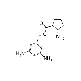 Nc1cc(N)cc(COC(=O)[C@H]2CCC[C@@H]2N)c1